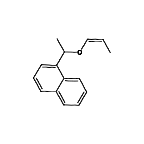 C/C=C\OC(C)c1cccc2ccccc12